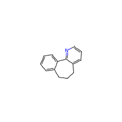 [c]1ccc2c(n1)-c1ccccc1CCC2